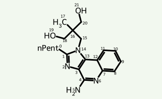 CCCCCc1nc2c(N)nc3ccccc3c2n1CC(C)(CO)CO